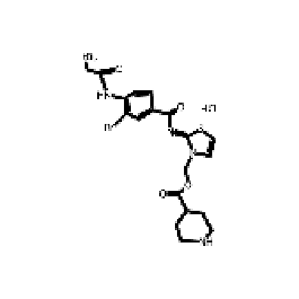 CC(C)(C)CC(=O)Nc1ccc(C(=O)/N=c2\sccn2COC(=O)C2CCNCC2)cc1Br.Cl